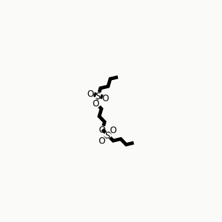 CCCCS(=O)(=O)OCCCOS(=O)(=O)CCCC